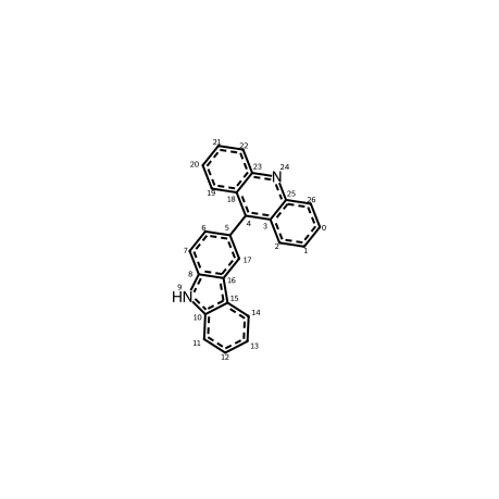 c1ccc2c(-c3ccc4[nH]c5ccccc5c4c3)c3ccccc3nc2c1